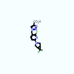 O=C(O)c1cn(Cc2ccc(N3CC4C(C3)C4(F)F)nc2F)nn1